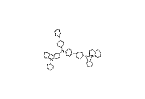 c1ccc(-c2ccc(N(c3ccc(-c4ccc(-n5c6ccccc6c6c7ccccc7ccc65)cc4)cc3)c3ccc4c(c3)c3ccccc3n4-c3ccccc3)cc2)cc1